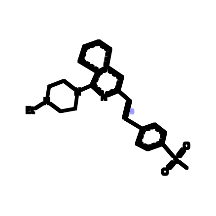 CCN1CCN(c2nc(/C=C/c3ccc(S(C)(=O)=O)cc3)cc3ccccc23)CC1